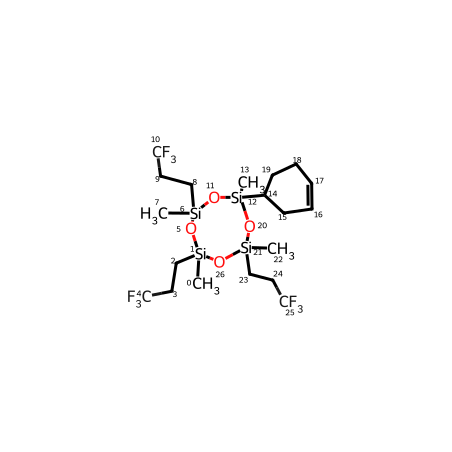 C[Si]1(CCC(F)(F)F)O[Si](C)(CCC(F)(F)F)O[Si](C)(C2CC=CCC2)O[Si](C)(CCC(F)(F)F)O1